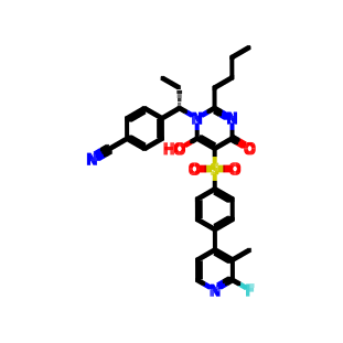 CCCCc1nc(=O)c(S(=O)(=O)c2ccc(-c3ccnc(F)c3C)cc2)c(O)n1[C@@H](CC)c1ccc(C#N)cc1